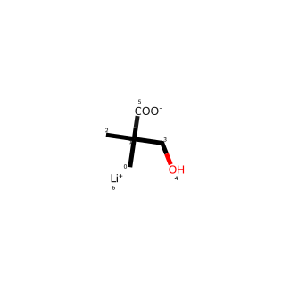 CC(C)(CO)C(=O)[O-].[Li+]